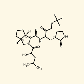 CC(C)CC(O)C(=O)N1C[C@@H]2CCC[C@@H]2[C@H]1C(=O)NC(C[C@@H]1CCNC1=O)C(=O)COC(F)(F)F